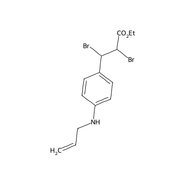 C=CCNc1ccc(C(Br)C(Br)C(=O)OCC)cc1